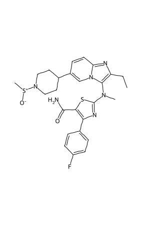 CCc1nc2ccc(C3CCN([S+](C)[O-])CC3)cn2c1N(C)c1nc(-c2ccc(F)cc2)c(C(N)=O)s1